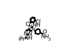 CC(C)Nc1ncc2nc(Nc3c(Cl)cccc3Cl)n(C3CCC(C(N)=O)CC3)c2n1